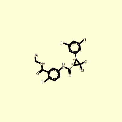 CC(C)CNC(=O)c1cc(NC(=O)[C@@H]2[C@@H](c3cc(Cl)cc(Cl)c3)C2(Cl)Cl)ccc1Cl